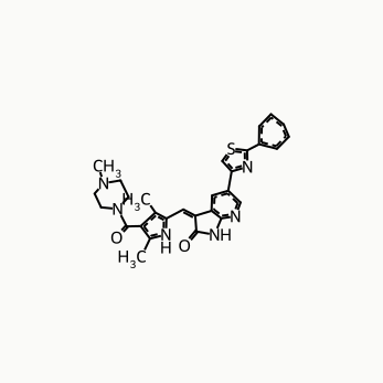 Cc1[nH]c(/C=C2\C(=O)Nc3ncc(-c4csc(-c5ccccc5)n4)cc32)c(C)c1C(=O)N1CCN(C)CC1